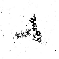 CN(CCO)Cc1cc(O[C@H]2CC[C@@H](N3CC(CC#N)(n4cc(-c5ncnc6[nH]ccc56)cn4)C3)CC2)nc(C(F)(F)F)n1.O=C(O)C(F)(F)F.O=C(O)C(F)(F)F.O=C(O)C(F)(F)F